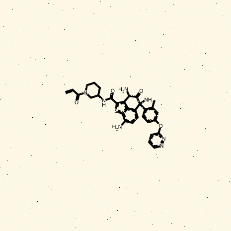 C=CC(=O)N1CCCC(NC(=O)c2sc3c(N)ccc4c3c2C(N)C(=O)C4(N)c2ccc(Oc3cccnn3)cc2C)C1